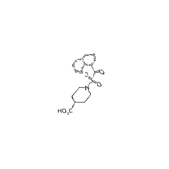 O=C(O)C1CCN(S(=O)(=O)C(=O)c2cccc3cccnc23)CC1